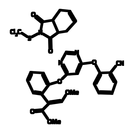 CO/C=C(/C(=O)OC)c1ccccc1Oc1cc(Oc2ccccc2C#N)ncn1.O=C1C2CC=CCC2C(=O)N1SC(Cl)(Cl)Cl